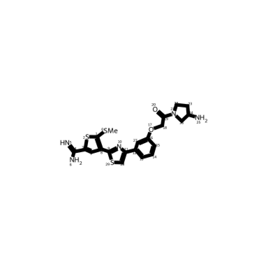 CSc1sc(C(=N)N)cc1-c1nc(-c2cccc(OCC(=O)N3CCC(N)C3)c2)cs1